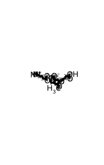 COc1cc(CCOC(=O)CCCN=[N+]=[N-])c([N+](=O)[O-])cc1OCCCC(=O)O